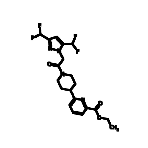 CCOC(=O)c1cccc(C2CCN(C(=O)Cn3nc(C(F)F)cc3C(F)F)CC2)n1